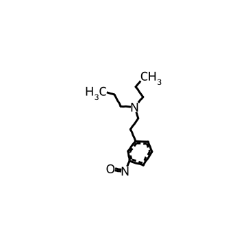 CCCN(CCC)CCc1cccc(N=O)c1